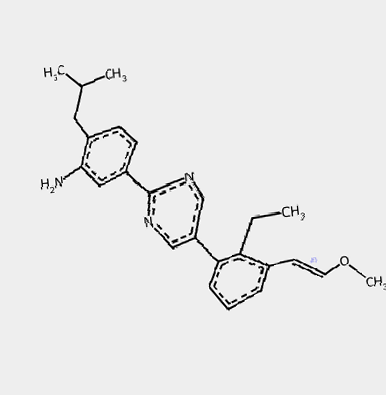 CCc1c(/C=C/OC)cccc1-c1cnc(-c2ccc(CC(C)C)c(N)c2)nc1